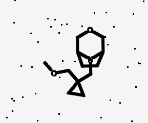 COCC1(CN2C3CCC2COC3)CC1